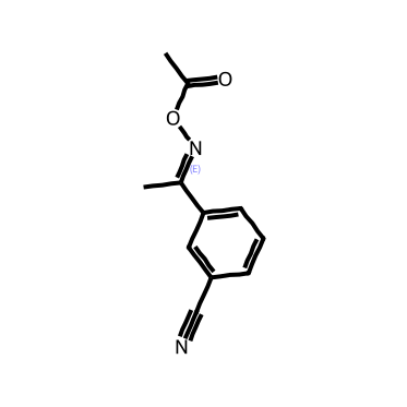 CC(=O)O/N=C(\C)c1cccc(C#N)c1